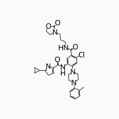 Cc1ccccc1N1CCN(c2cc(Cl)c(C(=O)NCCCN3CCOC3=O)cc2NC(=O)C2=CCC(C3CC3)=N2)CC1